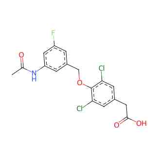 CC(=O)Nc1cc(F)cc(COc2c(Cl)cc(CC(=O)O)cc2Cl)c1